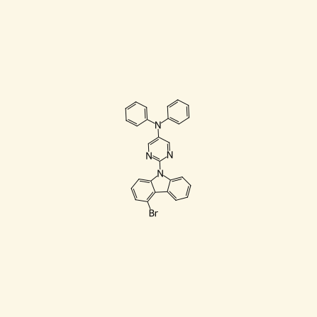 Brc1cccc2c1c1ccccc1n2-c1ncc(N(c2ccccc2)c2ccccc2)cn1